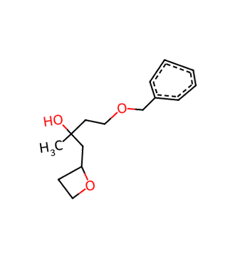 CC(O)(CCOCc1ccccc1)CC1CCO1